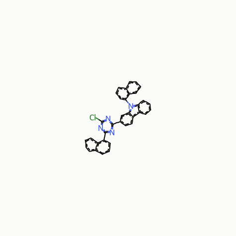 Clc1nc(-c2ccc3c4ccccc4n(-c4cccc5ccccc45)c3c2)nc(-c2cccc3ccccc23)n1